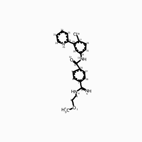 COCCNC(=N)c1ccc(C(=O)Nc2ccc(Cl)c(-c3ccccn3)c2)cc1